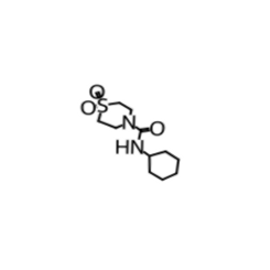 O=C(NC1CCCCC1)N1CCS(=O)(=O)CC1